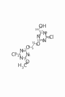 COc1nc(Cl)nc(OCCOc2nc(Cl)nc(CO)n2)n1